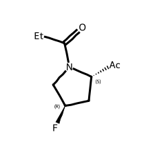 CCC(=O)N1C[C@H](F)C[C@H]1C(C)=O